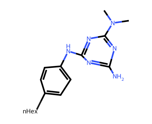 CCCCCCc1ccc(Nc2nc(N)nc(N(C)C)n2)cc1